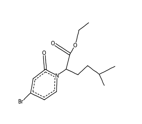 CCOC(=O)C(CCC(C)C)n1ccc(Br)cc1=O